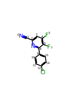 N#Cc1cc(F)c(F)c(-c2ccc(Cl)cc2)n1